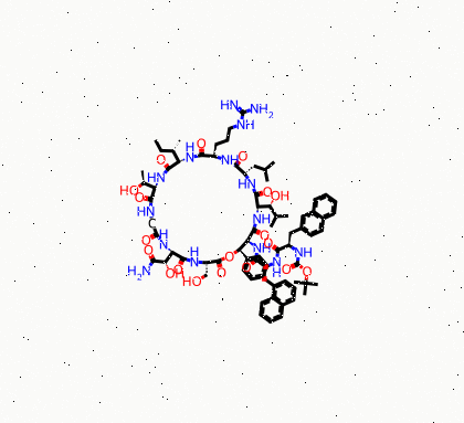 CC[C@H](C)[C@@H]1NC(=O)[C@@H](CCCNC(=N)N)NC(=O)[C@H](CC(C)C)NC(=O)[C@H]([C@H](O)C(C)C)NC(=O)[C@@H](NC(=O)[C@H](Cc2cccc3ccccc23)NC(=O)[C@@H](Cc2ccc3ccccc3c2)NC(=O)OC(C)(C)C)[C@@H](c2ccccc2)OC(=O)[C@H](CO)NC(=O)[C@H]([C@H](O)C(N)=O)NC(=O)CNC(=O)[C@H]([C@H](C)O)NC1=O